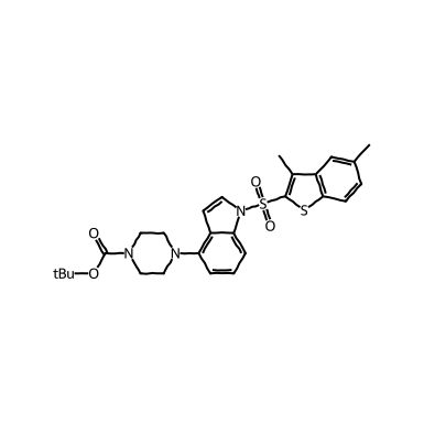 Cc1ccc2sc(S(=O)(=O)n3ccc4c(N5CCN(C(=O)OC(C)(C)C)CC5)cccc43)c(C)c2c1